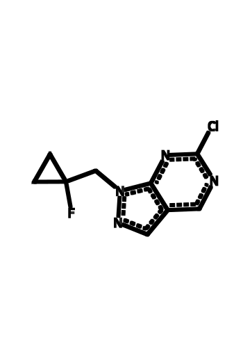 FC1(Cn2ncc3cnc(Cl)nc32)CC1